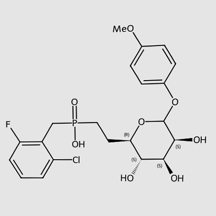 COc1ccc(OC2O[C@H](CCP(=O)(O)Cc3c(F)cccc3Cl)[C@@H](O)[C@H](O)[C@@H]2O)cc1